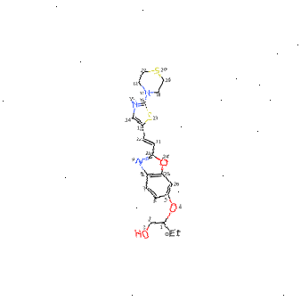 CCC(CO)Oc1ccc2nc(/C=C/c3cnc(N4CCSCC4)s3)oc2c1